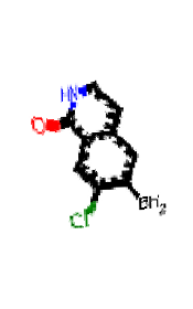 Bc1cc2cc[nH]c(=O)c2cc1Cl